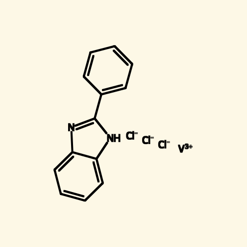 [Cl-].[Cl-].[Cl-].[V+3].c1ccc(-c2nc3ccccc3[nH]2)cc1